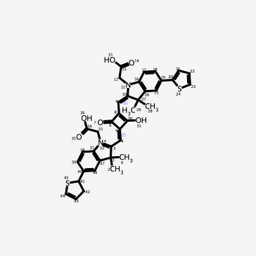 CC1(C)C(/C=C2\C(=O)C(/C=C3/N(CC(=O)O)c4ccc(-c5cccs5)cc4C3(C)C)=C2O)=[N+](CC(=O)O)c2ccc(C3CC=CS3)cc21